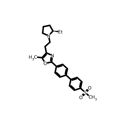 CC[C@@H]1CCCN1CCc1nc(-c2ccc(-c3ccc(S(C)(=O)=O)cc3)cc2)oc1C